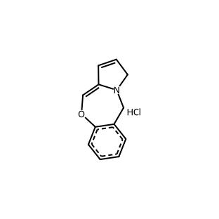 C1=CC2=COc3ccccc3CN2C1.Cl